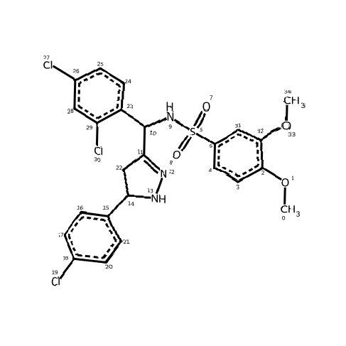 COc1ccc(S(=O)(=O)NC(C2=NNC(c3ccc(Cl)cc3)C2)c2ccc(Cl)cc2Cl)cc1OC